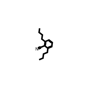 CCCCc1cccc(CCCC)c1C#N